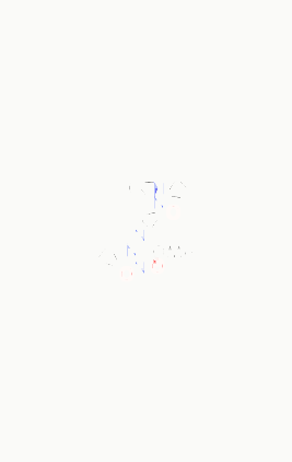 COC(=O)CN(C)C(=O)C(c1ccccc1)N1CCN(c2ccc(NC(=O)c3ccccc3-c3ccc(C(F)(F)F)cc3)cc2)CC1